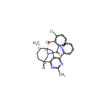 Cc1nc(-c2ccccn2)c2c(n1)[C@@H]1CC[C@H](C)[C@@H](C2)N(C(=O)c2cccc(Cl)c2Cl)C1